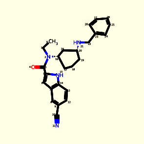 CCN(C(=O)c1cc2cc(C#N)ccc2[nH]1)[C@H]1CCC[C@@H](NCc2ccccc2)C1